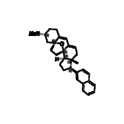 CN[C@@H]1CCC2=CC3=CC[C@]4(C)[C@@H](c5ccc6ccccc6c5)CC[C@H]4[C@@]34CC[C@]2(C1)O4